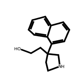 OCCC1(c2cccc3ccccc23)CCNC1